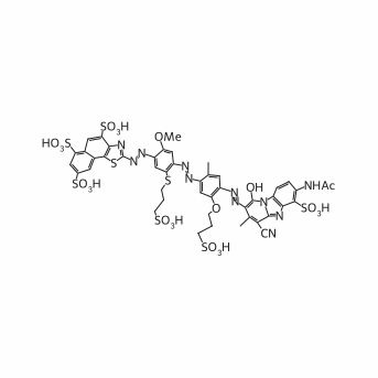 COc1cc(N=Nc2cc(OCCCS(=O)(=O)O)c(N=Nc3c(C)c(C#N)c4nc5c(S(=O)(=O)O)c(NC(C)=O)ccc5n4c3O)cc2C)c(SCCCS(=O)(=O)O)cc1N=Nc1nc2c(S(=O)(=O)O)cc3c(S(=O)(=O)O)cc(S(=O)(=O)O)cc3c2s1